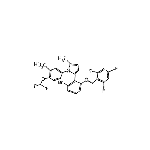 Cc1ccc(-c2c(Br)cccc2OCc2c(F)cc(F)cc2F)n1-c1ccc(OC(F)F)c(C(=O)O)c1